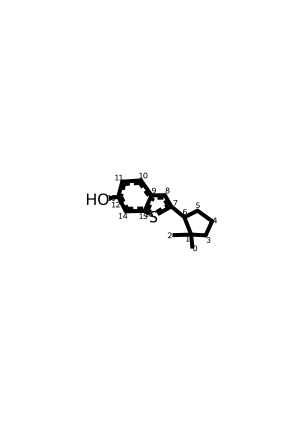 CC1(C)CCCC1c1cc2ccc(O)cc2s1